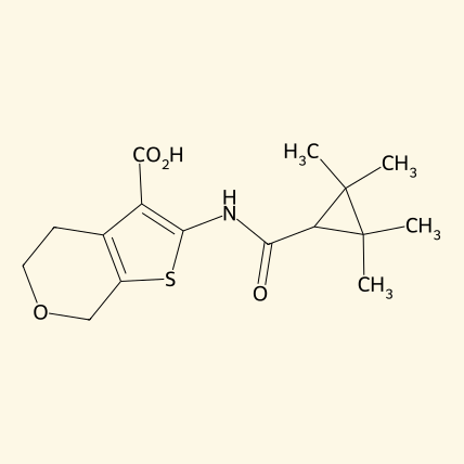 CC1(C)C(C(=O)Nc2sc3c(c2C(=O)O)CCOC3)C1(C)C